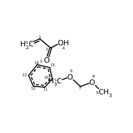 C=CC(=O)O.COCOC.c1ccccc1